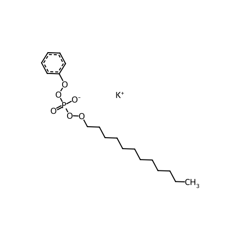 CCCCCCCCCCCCOOP(=O)([O-])OOc1ccccc1.[K+]